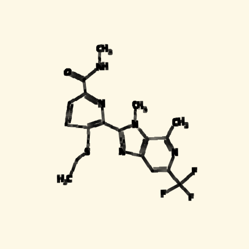 CCSc1ccc(C(=O)NC)nc1-c1nc2cc(C(F)(F)F)nc(C)c2n1C